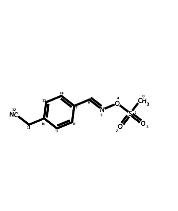 CS(=O)(=O)ON=Cc1ccc(CC#N)cc1